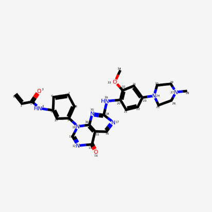 C=CC(=O)Nc1cccc(-n2cnc(=O)c3cnc(Nc4ccc(N5CCN(C)CC5)cc4OC)nc32)c1